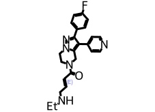 CCNC/C=C/C(=O)N1CCn2nc(-c3ccc(F)cc3)c(-c3ccncc3)c2C1